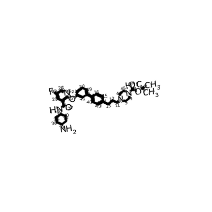 CC(C)(C)OC(=O)N1CCN(CCCc2ccc(-c3cccc(Oc4ncc(F)cc4C(=O)N[C@H]4CC[C@H](N)CC4)c3)cc2)CC1